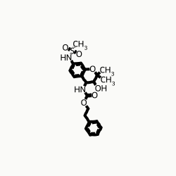 CC1(C)Oc2cc(NS(C)(=O)=O)ccc2C(NC(=O)OCCc2ccccc2)C1O